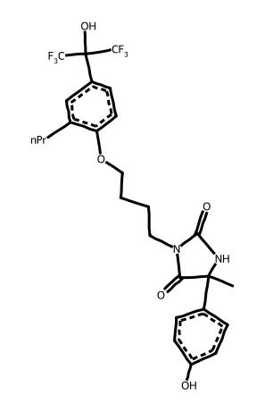 CCCc1cc(C(O)(C(F)(F)F)C(F)(F)F)ccc1OCCCCN1C(=O)NC(C)(c2ccc(O)cc2)C1=O